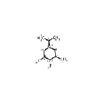 CC(C)N1CC([SiH3])[C@H](F)[C@@H](F)C1